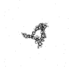 Cc1c(Cl)c2c(Cl)c(C)c1-c1c(-c3ccc(F)cc3)sc3ncnc(c13)O[C@@H](C(=O)OC(C)(C)C)Cc1cc(ccc1O)OC[C@@H](CN1CCN(C)CC1)O2